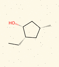 CC[C@H]1C[C@@H](C)C[C@H]1O